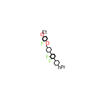 CCCC1CCC(c2ccc(C3CCC(COc4ccc(OCC)cc4F)CC3)c(F)c2F)CC1